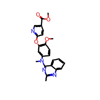 COC(=O)c1ccc(Oc2cc(N(C)c3nc(C)nc4ccccc34)ccc2OC)nc1